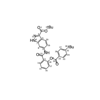 CC(C)(C)OC(=O)c1n[nH]c2cc(NC(=O)c3ccccc3OC(=O)c3ccc(C(C)(C)C)cc3)ccc12